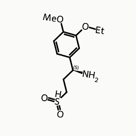 CCOc1cc([C@@H](N)CC[SH](=O)=O)ccc1OC